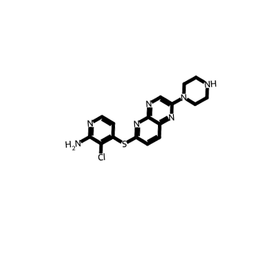 Nc1nccc(Sc2ccc3nc(N4CCNCC4)cnc3n2)c1Cl